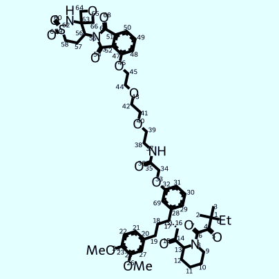 CCC(C)(C)C(=O)C(=O)N1CCCCC1C(=O)C[C@H](CCc1ccc(OC)c(OC)c1)c1cccc(OCC(=O)NCCOCCOCCOc2cccc3c2C(=O)N(C2CCS(=O)(=O)NC24COC4)C3=O)c1